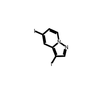 Ic1ccn2ncc(I)c2c1